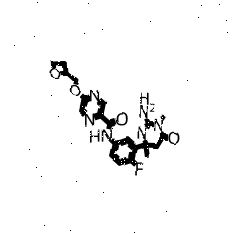 CN1C(=O)CC(C)(c2cc(NC(=O)c3cnc(OCC4CCO4)cn3)ccc2F)N=C1N